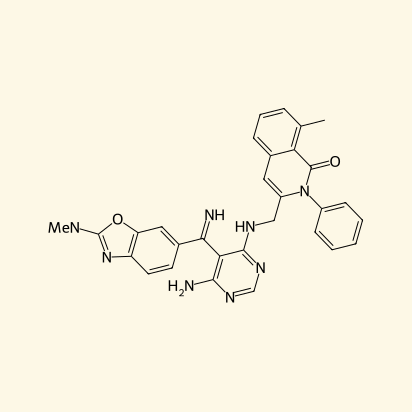 CNc1nc2ccc(C(=N)c3c(N)ncnc3NCc3cc4cccc(C)c4c(=O)n3-c3ccccc3)cc2o1